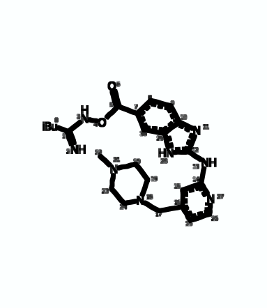 CCC(C)C(=N)NOC(=O)c1ccc2nc(Nc3cc(CN4CCN(C)CC4)ccn3)[nH]c2c1